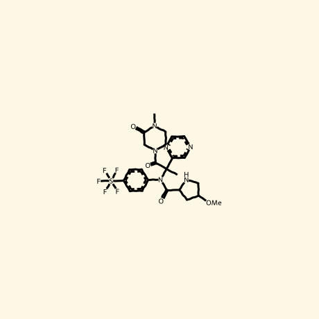 COC1CNC(C(=O)N(c2ccc(S(F)(F)(F)(F)F)cc2)C(C)(C(=O)N2CCN(C)C(=O)C2)c2cnccn2)C1